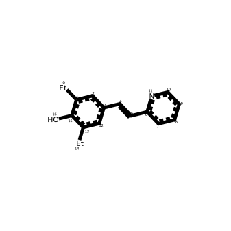 CCc1cc(C=Cc2ccccn2)cc(CC)c1O